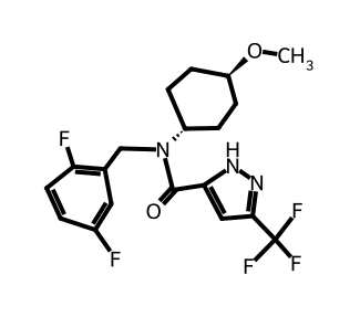 CO[C@H]1CC[C@H](N(Cc2cc(F)ccc2F)C(=O)c2cc(C(F)(F)F)n[nH]2)CC1